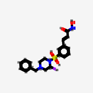 O=C(C=Cc1cccc(S(=O)(=O)N2CCN(Cc3ccccc3)CC2I)c1)NO